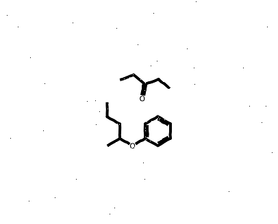 CCC(=O)CC.CCCC(C)Oc1ccccc1